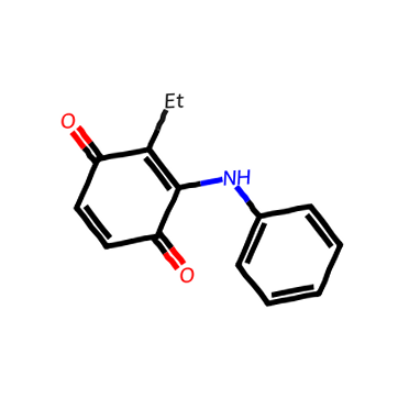 CCC1=C(Nc2ccccc2)C(=O)C=CC1=O